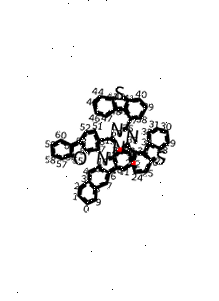 c1ccc2cc3c(cc2c1)c1ccccc1n3-c1c(-c2nc(-c3cccc4sc5ccccc5c34)nc(-c3cccc4sc5ccccc5c34)n2)ccc2c1oc1ccccc12